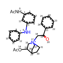 CC(=O)Nc1cccc(Nc2ccccc2)c1.CC(=O)OC1C[N+]2(CC(=O)c3ccccc3)CCC1CC2